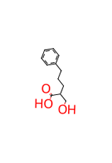 O=C(O)C(CO)CCCc1ccccc1